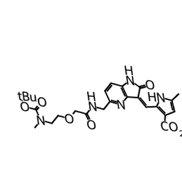 CCOC(=O)c1cc(C)[nH]c1/C=C1\C(=O)Nc2ccc(CNC(=O)COCCN(C)C(=O)OC(C)(C)C)nc21